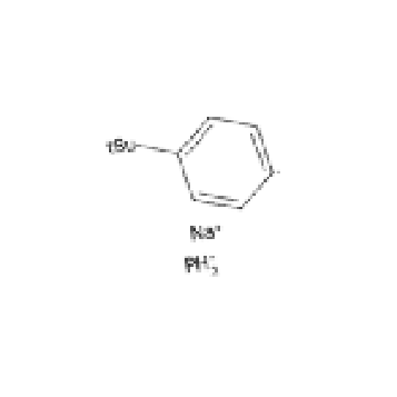 CC(C)(C)c1cc[c]cc1.[Na+].[PH2-]